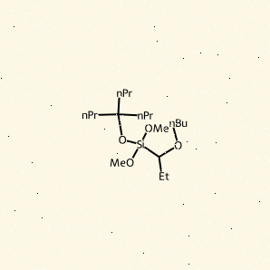 CCCCOC(CC)[Si](OC)(OC)OC(CCC)(CCC)CCC